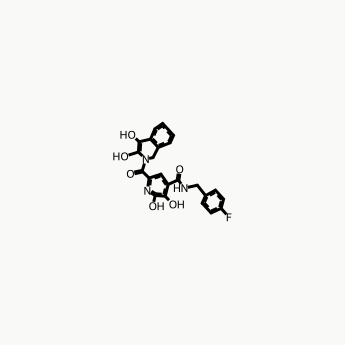 O=C(NCc1ccc(F)cc1)c1cc(C(=O)N2Cc3ccccc3C(O)=C2O)nc(O)c1O